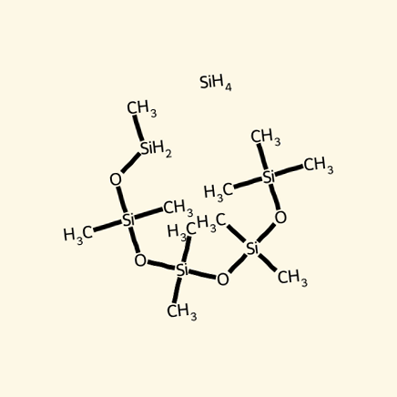 C[SiH2]O[Si](C)(C)O[Si](C)(C)O[Si](C)(C)O[Si](C)(C)C.[SiH4]